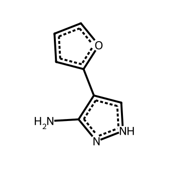 Nc1n[nH]cc1-c1ccco1